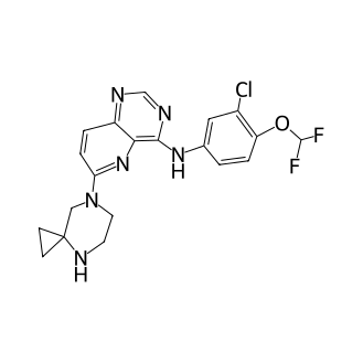 FC(F)Oc1ccc(Nc2ncnc3ccc(N4CCNC5(CC5)C4)nc23)cc1Cl